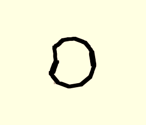 [CH]1/C=C/CCCC/C=C\CCC1